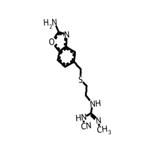 CN=C(NC#N)NCCSCc1ccc2oc(N)nc2c1